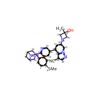 CSc1ccc(CN2C3CC2CN(c2ccc(-c4cc(N5CC(C)(O)C5)cn5ncc(C#N)c45)cn2)C3)cc1